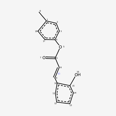 Cc1ccc(OC(=O)/C=C/c2ccccc2O)cc1